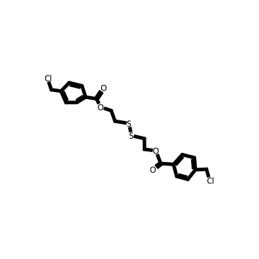 O=C(OCCSSCCOC(=O)c1ccc(CCl)cc1)c1ccc(CCl)cc1